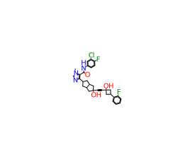 Cn1cnc(C2CC3CC(O)(C#CC4(O)CC(c5ccccc5F)C4)CC3C2)c1C(=O)Nc1ccc(F)c(Cl)c1